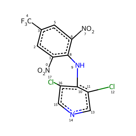 O=[N+]([O-])c1cc(C(F)(F)F)cc([N+](=O)[O-])c1Nc1c(Cl)cncc1Cl